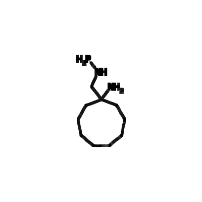 NC1(CNP)CCCCCCCC1